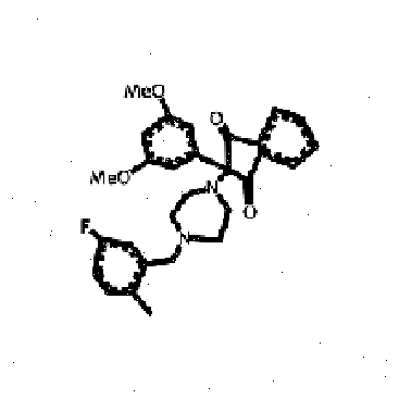 COc1cc(OC)cc(C2(N3CCN(Cc4cc(F)ccc4C)CC3)C(=O)c3ccccc3C2=O)c1